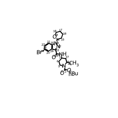 CCCCOC(=O)N1CCC(NC(=O)c2nn(C3CCCCO3)c3ccc(Br)cc23)CC1C